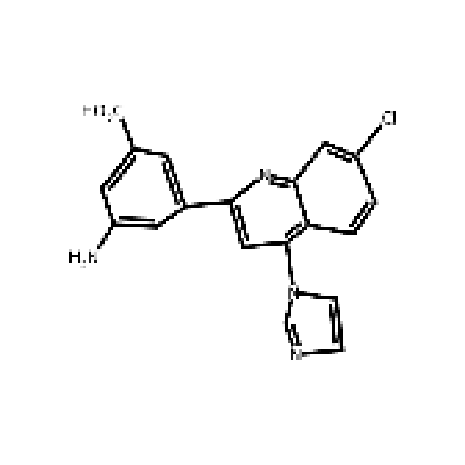 Nc1cc(C(=O)O)cc(-c2cc(-n3ccnc3)c3ccc(Cl)cc3n2)c1